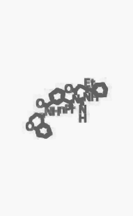 CCCC(c1cccc(C(=O)N[C@H]2CCOc3ccccc32)c1)N1C(=N)N[C@@](CC)(c2ccccc2)CC1=O